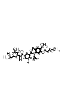 CCCC[C@@H](CC(C)C)NC(=O)[C@@H]1CNC[C@H](C(=O)N(c2cc(OCCCOC)c(CC)cc2F)C2CC2)C1